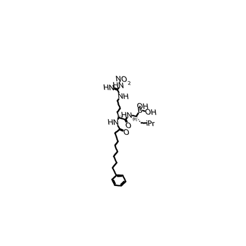 CC(C)C[C@H](NC(=O)[C@H](CCCNC(=N)N[N+](=O)[O-])NC(=O)CCCCCCCc1ccccc1)B(O)O